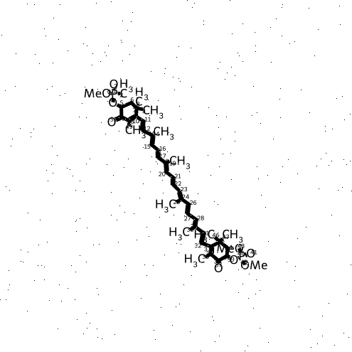 COP(C)(=O)OC1CC(C)(C)C(/C=C/C(C)=C/C=C/C(C)=C/C=C/C=C(C)/C=C/C=C(C)/C=C/C2=C(C)C(=O)C(OP(=O)(OC)OC)CC2(C)C)=C(C)C1=O